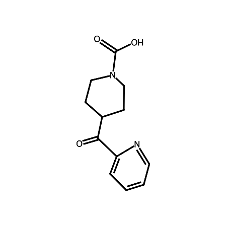 O=C(c1ccccn1)C1CCN(C(=O)O)CC1